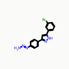 NN=Nc1ccc(-c2cc(-c3cccc(Br)c3)[nH]n2)cc1